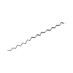 [CH]=C/C=C/C=C/C=C/C=C/C=C/C=C/CCCCCCCCCC